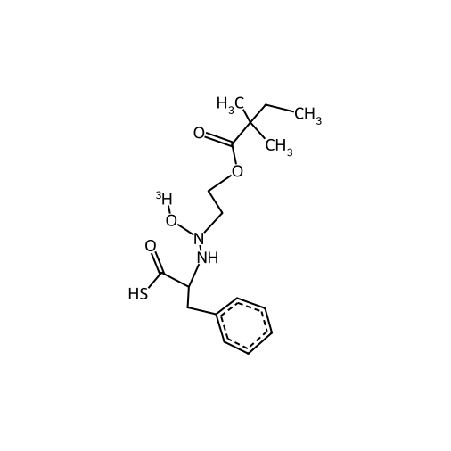 [3H]ON(CCOC(=O)C(C)(C)CC)NC(Cc1ccccc1)C(=O)S